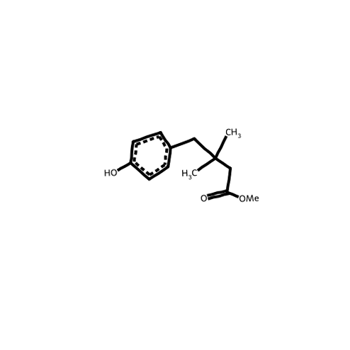 COC(=O)CC(C)(C)Cc1ccc(O)cc1